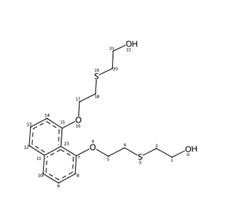 OCCSCCOc1cc[c]c2cccc(OCCSCCO)c12